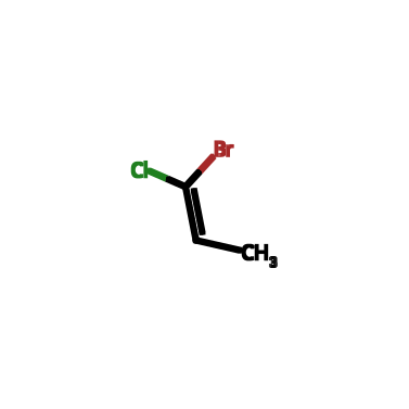 CC=C(Cl)Br